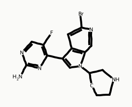 Nc1ncc(F)c(-c2cn(C3CCCNC3)c3cnc(Br)cc23)n1